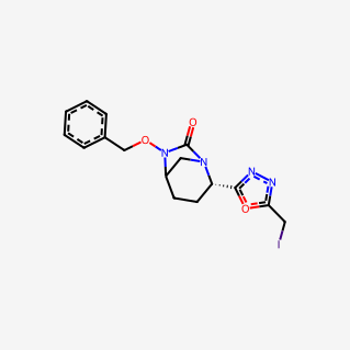 O=C1N(OCc2ccccc2)C2CC[C@@H](c3nnc(CI)o3)N1C2